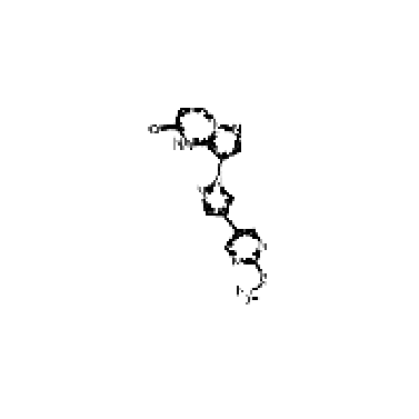 COc1ncc(-c2cnn(-c3cnn4ccc(=O)[nH]c34)c2)cn1